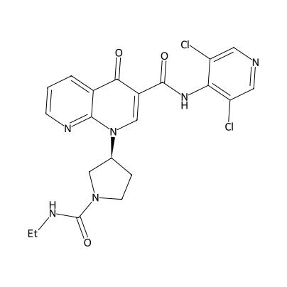 CCNC(=O)N1CC[C@H](n2cc(C(=O)Nc3c(Cl)cncc3Cl)c(=O)c3cccnc32)C1